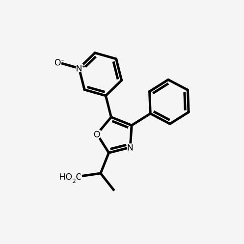 CC(C(=O)O)c1nc(-c2ccccc2)c(-c2ccc[n+]([O-])c2)o1